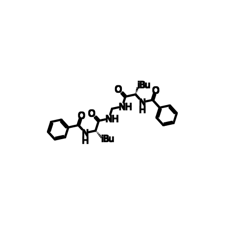 CCC(C)[C@H](NC(=O)c1ccccc1)C(=O)NCNC(=O)[C@@H](NC(=O)c1ccccc1)C(C)CC